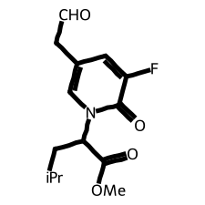 COC(=O)C(CC(C)C)n1cc(CC=O)cc(F)c1=O